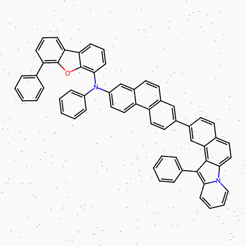 c1ccc(-c2cccc3c2oc2c(N(c4ccccc4)c4ccc5c(ccc6cc(-c7ccc8ccc9c(c(-c%10ccccc%10)c%10ccccn%109)c8c7)ccc65)c4)cccc23)cc1